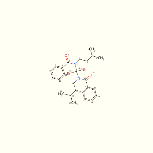 CC(C)CC[N](C(=O)c1ccccc1)[Hf]([Br])([Br])[N](CCC(C)C)C(=O)c1ccccc1